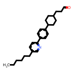 CCCCCCc1ccc(-c2ccc(C3CCC(CCC=O)CC3)cc2)nc1